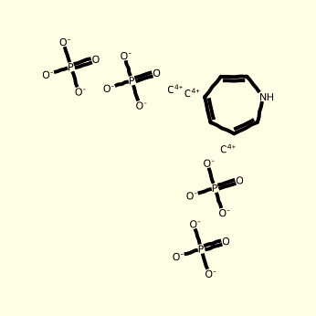 C1=CC=CNC=C1.O=P([O-])([O-])[O-].O=P([O-])([O-])[O-].O=P([O-])([O-])[O-].O=P([O-])([O-])[O-].[C+4].[C+4].[C+4]